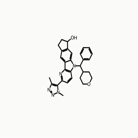 Cc1nnn(C)c1-c1ccc2c(n1)c1cc3c(cc1n2C(c1ccccc1)C1CCOCC1)C(O)CC3